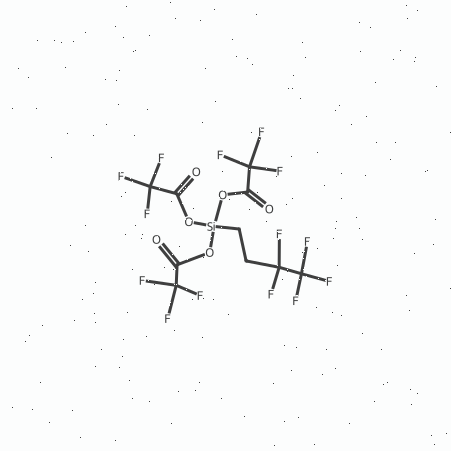 O=C(O[Si](CCC(F)(F)C(F)(F)F)(OC(=O)C(F)(F)F)OC(=O)C(F)(F)F)C(F)(F)F